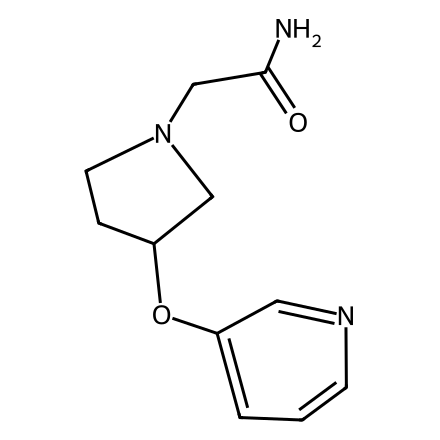 NC(=O)CN1CCC(Oc2cccnc2)C1